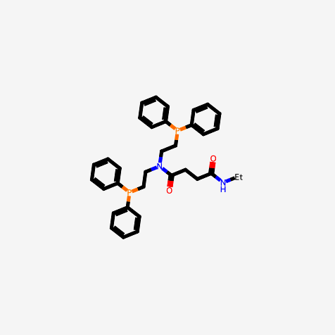 CCNC(=O)CCC(=O)N(CCP(c1ccccc1)c1ccccc1)CCP(c1ccccc1)c1ccccc1